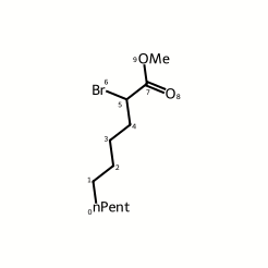 CCCCCCCCCC(Br)C(=O)OC